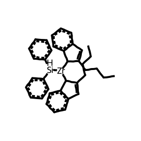 CCCCC1=Cc2ccccc2[CH]1[Zr]([CH]1C(CCCC)=Cc2ccccc21)[SiH](c1ccccc1)c1ccccc1